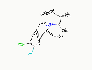 CC/C=C(\NC(C(CCC)CCCCC)C(C)(C)C)c1cc(F)c(Cl)cc1CCC